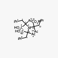 CC(=O)[C](CC(C)C)(C(=O)O)[Al]([C](CC(C)C)(C(C)=O)C(=O)O)[C](CC(C)C)(C(C)=O)C(=O)O